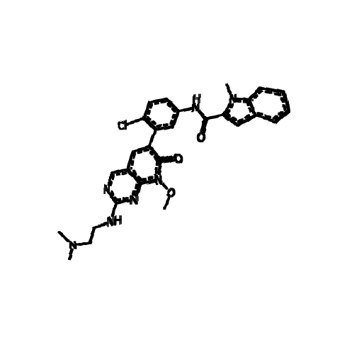 COn1c(=O)c(-c2cc(NC(=O)c3cc4ccccc4n3C)ccc2Cl)cc2cnc(NCCN(C)C)nc21